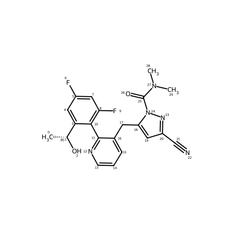 C[C@@H](O)c1cc(F)cc(F)c1-c1ncccc1Cc1cc(C#N)nn1C(=O)N(C)C